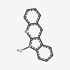 Cn1c2ccccc2c2cc3ccccc3nc21